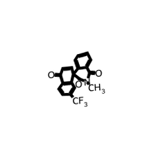 CN1C(=O)c2ccccc2C2(C=CC(=O)c3ccc(C(F)(F)F)cc32)C1=O